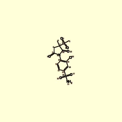 CC1(S(C)(=O)=O)CC(=O)N(c2ccc(S(N)(=O)=O)cc2Cl)C1=O